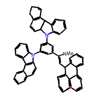 CN/C(=C\C(c1ccccc1)c1ccccc1-c1ccccc1)c1cc(N2c3ccccc3C3C4=C(C=CC32)CCC=C4)cc(-n2c3ccccc3c3c4ccccc4ccc32)c1